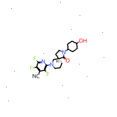 N#Cc1c(F)c(F)nc(N2CCC[C@@]3(CCN(C4CCC(O)CC4)C3=O)C2)c1F